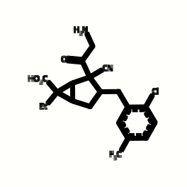 CCC1(C(=O)O)C2CC(Cc3cc(C(F)(F)F)ccc3Cl)C(C#N)(C(=O)CN)C21